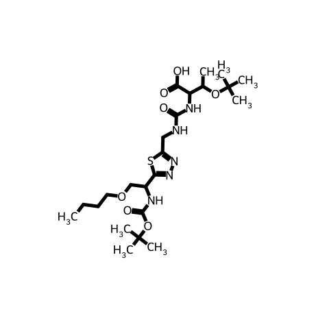 CCCCOCC(NC(=O)OC(C)(C)C)c1nnc(CNC(=O)NC(C(=O)O)C(C)OC(C)(C)C)s1